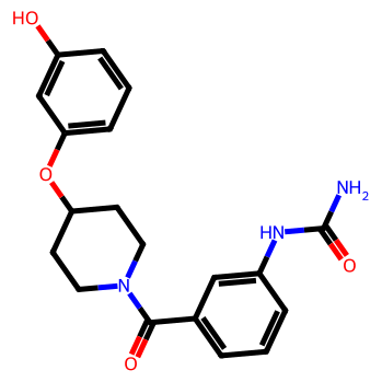 NC(=O)Nc1cccc(C(=O)N2CCC(Oc3cccc(O)c3)CC2)c1